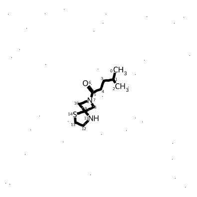 CC(C)CCC(=O)N1CC2(C1)NCCS2